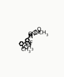 CC(=O)N1CCN(c2nc(-c3ccc(Sc4ccccc4C(C)C)c(C(F)(F)F)c3)co2)CC1